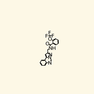 O=C(NCc1cc2c3ccccc3ncn2n1)c1ccccc1OC(F)(F)F